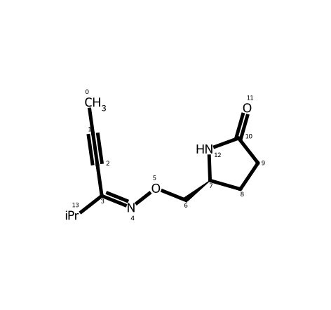 CC#C/C(=N\OC[C@@H]1CCC(=O)N1)C(C)C